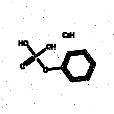 O=P(O)(O)Oc1ccccc1.[CsH]